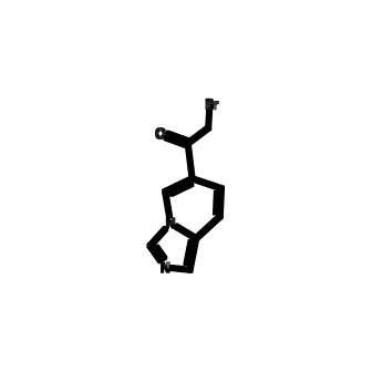 O=C(CBr)c1ccc2cncn2c1